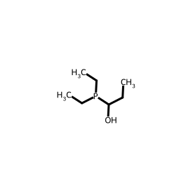 CCC(O)P(CC)CC